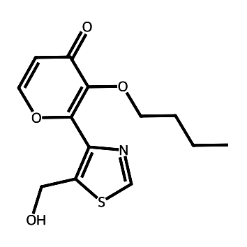 CCCCOc1c(-c2ncsc2CO)occc1=O